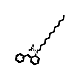 CCCCCCCCCCCCN(C1C=CC=CC1=Cc1ccccc1)N(C)C